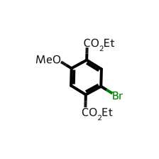 CCOC(=O)c1cc(OC)c(C(=O)OCC)cc1Br